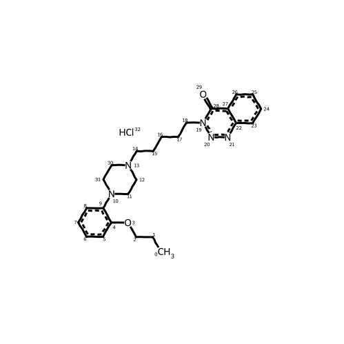 CCCOc1ccccc1N1CCN(CCCCCn2nnc3ccccc3c2=O)CC1.Cl